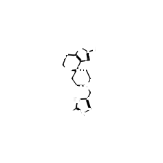 CCc1cc2c(s1)CCOC21CCN(Cc2cnc(C(F)(F)F)[nH]2)CC1